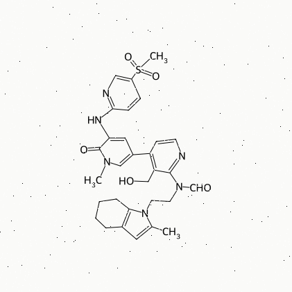 Cc1cc2c(n1CCN(C=O)c1nccc(-c3cc(Nc4ccc(S(C)(=O)=O)cn4)c(=O)n(C)c3)c1CO)CCCC2